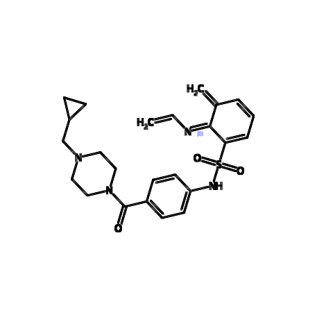 C=C/N=C1\C(=C)C=CC=C1S(=O)(=O)Nc1ccc(C(=O)N2CCN(CC3CC3)CC2)cc1